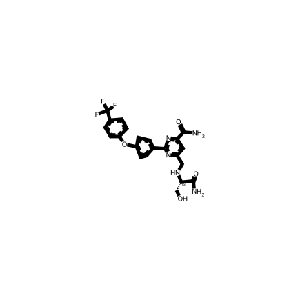 NC(=O)c1cc(CN[C@@H](CO)C(N)=O)nc(-c2ccc(Oc3ccc(C(F)(F)F)cc3)cc2)n1